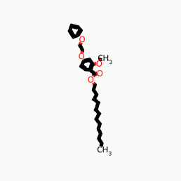 CCCCCCCCCCCCCCOC(=O)c1ccc(OCCOc2ccccc2)cc1OC